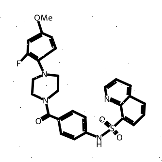 COc1ccc(N2CCN(C(=O)c3ccc(NS(=O)(=O)c4cccc5cccnc45)cc3)CC2)c(F)c1